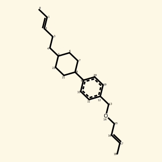 CC=CCCC1CCC(c2ccc(COCC=CC)cc2)CC1